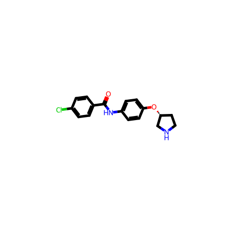 O=C(Nc1ccc(O[C@@H]2CCNC2)cc1)c1ccc(Cl)cc1